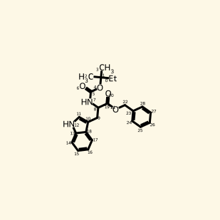 CCC(C)(C)OC(=O)NC(Cc1c[nH]c2ccccc12)C(=O)OCc1ccccc1